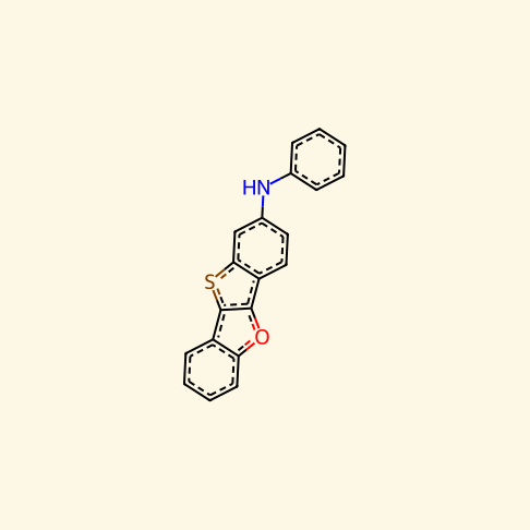 c1ccc(Nc2ccc3c(c2)sc2c4ccccc4oc32)cc1